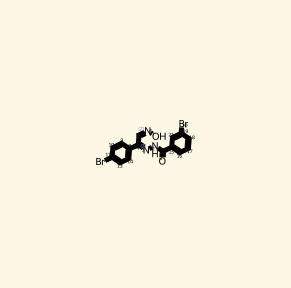 O=C(N/N=C(\C=N/O)c1ccc(Br)cc1)c1cccc(Br)c1